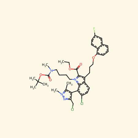 CCOC(=O)c1c(CCCOc2cccc3cc(F)ccc23)c2ccc(Cl)c(-c3c(CCl)nn(C)c3C)c2n1CCCCN(C)C(=O)OC(C)(C)C